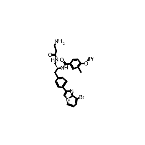 Cc1cc(C(=O)N[C@H](CNC(=O)CCN)Cc2ccc(-c3cn4cccc(Br)c4n3)cc2)ccc1OC(C)C